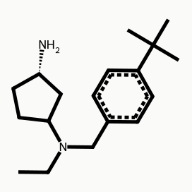 CCN(Cc1ccc(C(C)(C)C)cc1)C1CC[C@H](N)C1